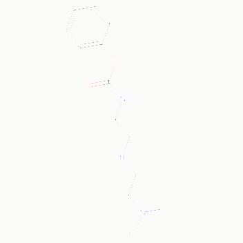 CCN(C)CCNCCNC(=O)Oc1ccccc1